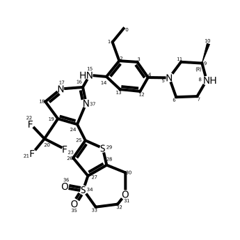 CCc1cc(N2CCN[C@H](C)C2)ccc1Nc1ncc(C(F)(F)F)c(-c2cc3c(s2)COCCS3(=O)=O)n1